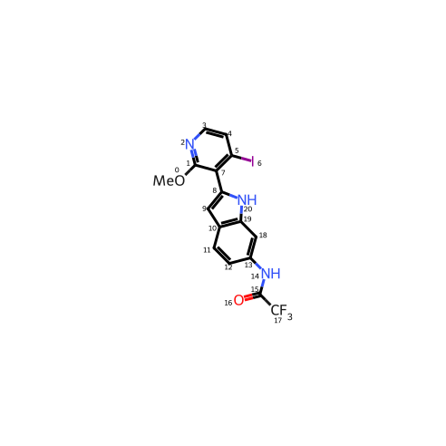 COc1nccc(I)c1-c1cc2ccc(NC(=O)C(F)(F)F)cc2[nH]1